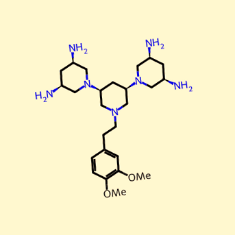 COc1ccc(CCN2C[C@H](N3C[C@H](N)C[C@H](N)C3)C[C@H](N3C[C@H](N)C[C@H](N)C3)C2)cc1OC